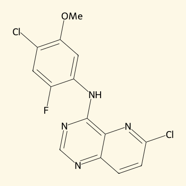 COc1cc(Nc2ncnc3ccc(Cl)nc23)c(F)cc1Cl